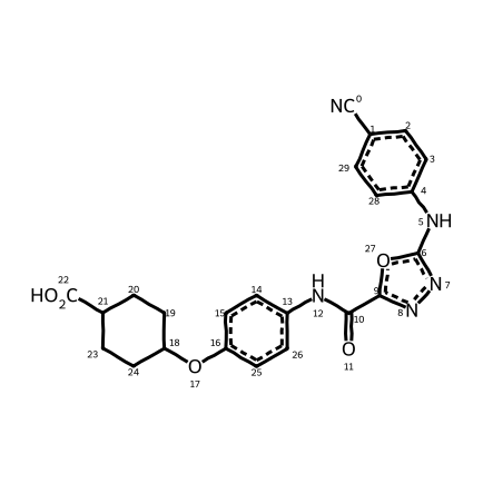 N#Cc1ccc(Nc2nnc(C(=O)Nc3ccc(OC4CCC(C(=O)O)CC4)cc3)o2)cc1